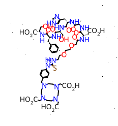 C[C@H](NC(=O)[C@H](CC(=O)O)NC(=O)COCCOCCNC(=S)Nc1ccc(CN2CCN(CC(=O)O)CCN(CC(=O)O)CCN(CC(=O)O)CC2)cc1)C(=O)N[C@@H](Cc1c[nH]cn1)C(=O)N[C@@H](CO)C(=O)N[C@@H](Cc1ccccc1)C(=O)N[C@@H](CO)C(=O)O